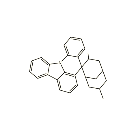 CC1CC2CC(C)C3(c4ccccc4-n4c5ccccc5c5cccc3c54)C(C1)C2